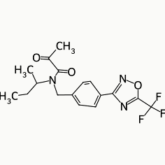 CCC(C)N(Cc1ccc(-c2noc(C(F)(F)F)n2)cc1)C(=O)C(C)=O